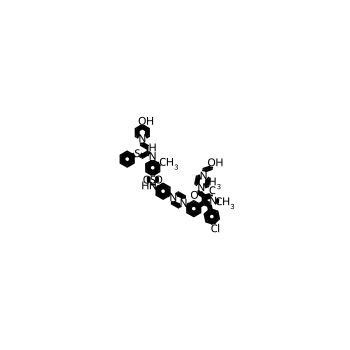 Cc1cc(S(=O)(=O)Nc2ccc(N3CCN(c4cccc(-c5c(C(=O)N6CCN(CCO)CC6)c(C)n(C)c5-c5ccc(Cl)cc5)c4)CC3)cc2)ccc1N[C@H](CCN1CCC(O)CC1)CSc1ccccc1